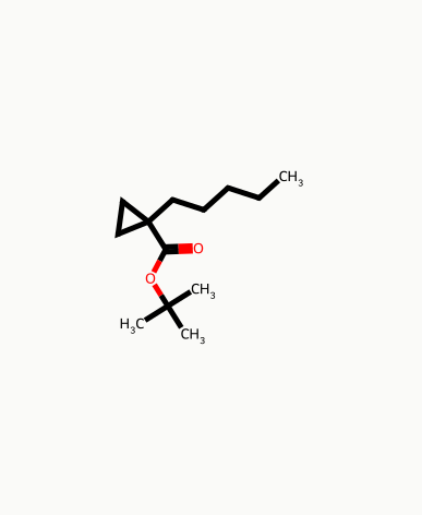 CCCCCC1(C(=O)OC(C)(C)C)CC1